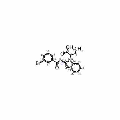 CCC(C(=O)O)n1/c(=N/C(=O)c2cccc(Br)c2)sc2ccccc21